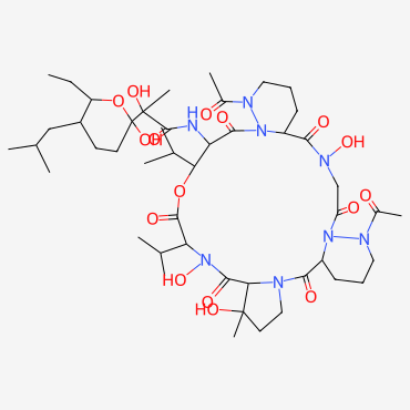 CCC1OC(O)(C(C)(O)C(=O)NC2C(=O)N3C(CCCN3C(C)=O)C(=O)N(O)CC(=O)N3C(CCCN3C(C)=O)C(=O)N3CCC(C)(O)C3C(=O)N(O)C(C(C)C)C(=O)OC2C(C)C)CCC1CC(C)C